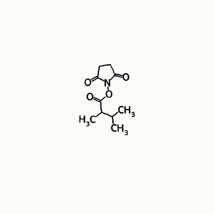 CC(C)C(C)C(=O)ON1C(=O)CCC1=O